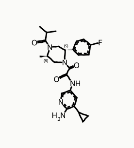 CC(C)C(=O)N1C[C@H](c2ccc(F)cc2)N(C(=O)C(=O)Nc2cnc(N)c(C3CC3)c2)C[C@H]1C